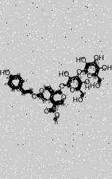 C/C=C1/[C@H](O[C@@H]2O[C@H](CO)[C@@H](O)[C@H](O[C@@H]3O[C@H](CO)[C@@H](O)[C@H](O)[C@H]3O)[C@H]2O)OC=C(C(=O)OC)[C@H]1CC(=O)OCCc1ccc(O)cc1